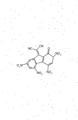 N#CC(C#N)=C1C2=C(C([N+](=O)[O-])=CC([N+](=O)[O-])C2=O)c2c1cc([N+](=O)[O-])cc2[N+](=O)[O-]